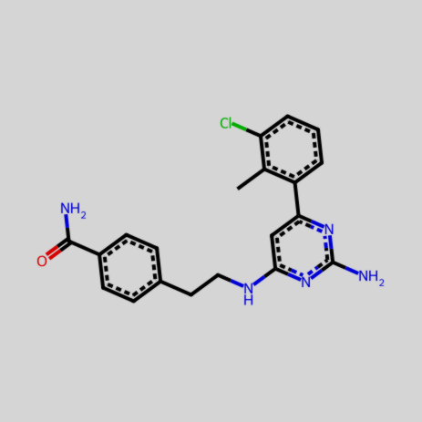 Cc1c(Cl)cccc1-c1cc(NCCc2ccc(C(N)=O)cc2)nc(N)n1